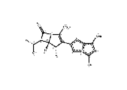 CSc1nc(C(C)=O)n2cc(C3=C(C(=O)O)N4C(=O)[C@H]([C@@H](C)O)[C@H]4[C@H]3C)sc12